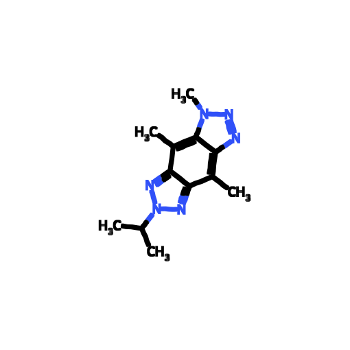 Cc1c2nn(C(C)C)nc2c(C)c2c1nnn2C